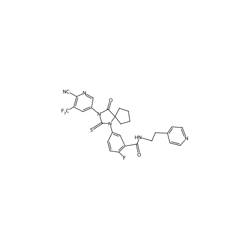 N#Cc1ncc(N2C(=O)C3(CCCC3)N(c3ccc(F)c(C(=O)NCCc4ccncc4)c3)C2=S)cc1C(F)(F)F